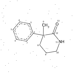 CC1(c2ccccc2)CCCNC1=O